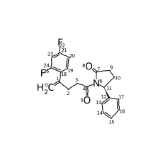 C=C(CCC(=O)N1C(=O)CC[C@H]1c1ccccc1)c1ccc(F)cc1F